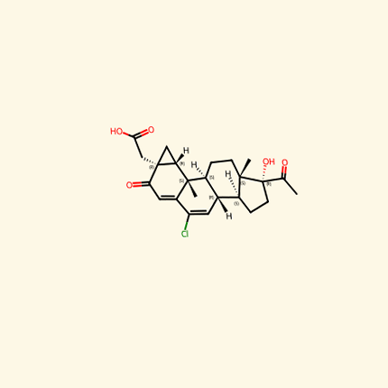 CC(=O)[C@@]1(O)CC[C@H]2[C@@H]3C=C(Cl)C4=CC(=O)[C@@]5(CC(=O)O)C[C@@H]5[C@]4(C)[C@H]3CC[C@@]21C